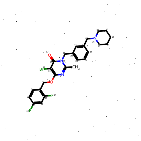 Cc1nc(OCc2ccc(F)cc2F)c(Br)c(=O)n1Cc1cccc(CN2CCCCC2)c1